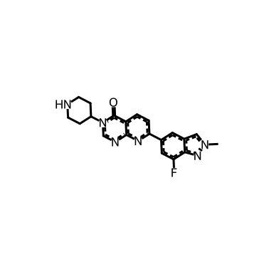 Cn1cc2cc(-c3ccc4c(=O)n(C5CCNCC5)cnc4n3)cc(F)c2n1